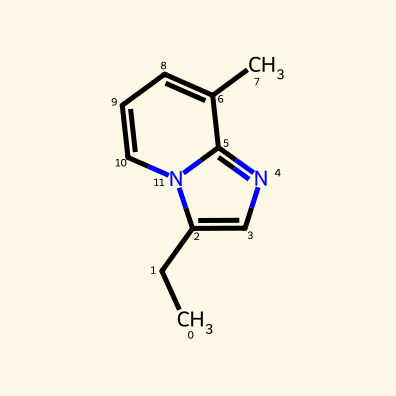 CCc1cnc2c(C)cccn12